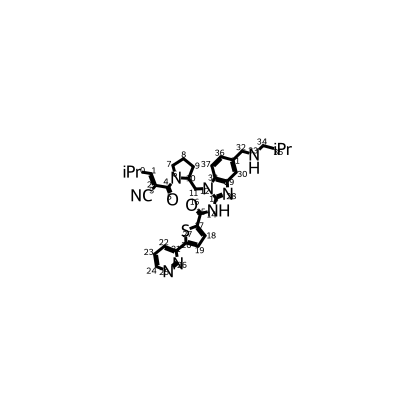 CC(C)C=C(C#N)C(=O)N1CCCC1Cn1c(NC(=O)c2ccc(-c3cccnn3)s2)nc2cc(CNCC(C)C)ccc21